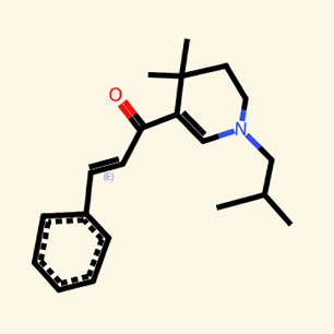 CC(C)CN1C=C(C(=O)/C=C/c2ccccc2)C(C)(C)CC1